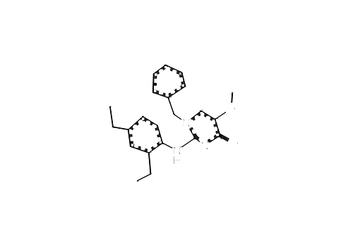 CCc1ccc(Nc2nc(=O)c(OC)cn2Cc2ccccc2)c(CC)c1